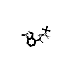 C[C@H](N[S+]([O-])C(C)(C)C)c1cccc2c1cnn2C